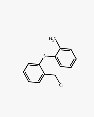 Nc1ccccc1Sc1ccccc1CCl